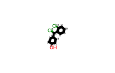 Oc1ccc(C(Cl)c2ccccc2Cl)cc1